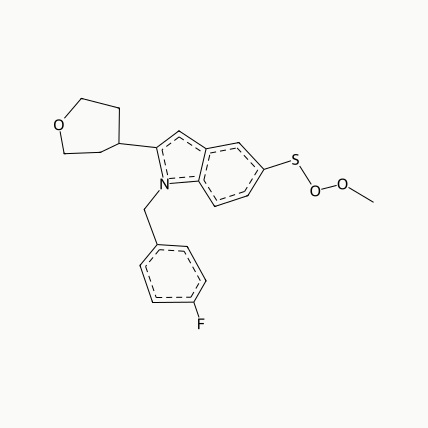 COOSc1ccc2c(c1)cc(C1CCOCC1)n2Cc1ccc(F)cc1